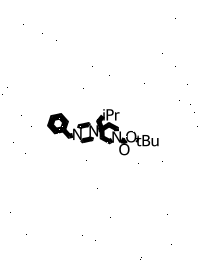 CC(C)CC1(N2CCN(Cc3ccccc3)CC2)CCN(C(=O)OC(C)(C)C)CC1